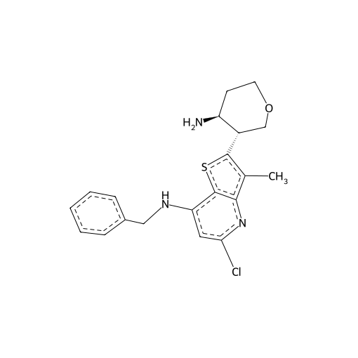 Cc1c([C@H]2COCC[C@@H]2N)sc2c(NCc3ccccc3)cc(Cl)nc12